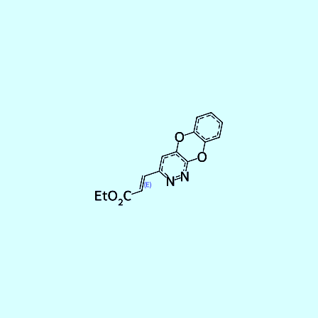 CCOC(=O)/C=C/c1cc2c(nn1)Oc1ccccc1O2